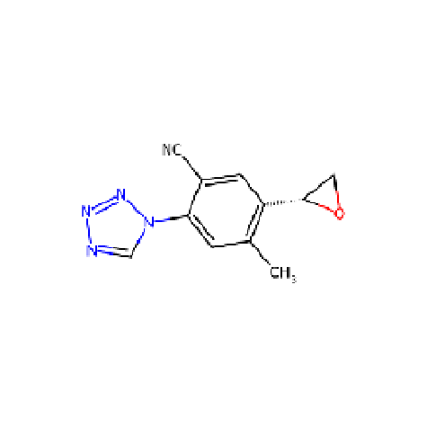 Cc1cc(-n2cnnn2)c(C#N)cc1[C@@H]1CO1